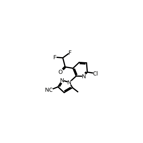 Cc1cc(C#N)nn1-c1nc(Cl)ccc1C(=O)C(F)F